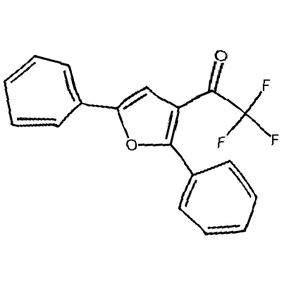 O=C(c1cc(-c2ccccc2)oc1-c1ccccc1)C(F)(F)F